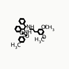 COc1cc(CCCN[C@H](c2ccccc2)[C@H](NS(=O)(=O)c2ccc(C)cc2)c2ccccc2)cc(OC)c1